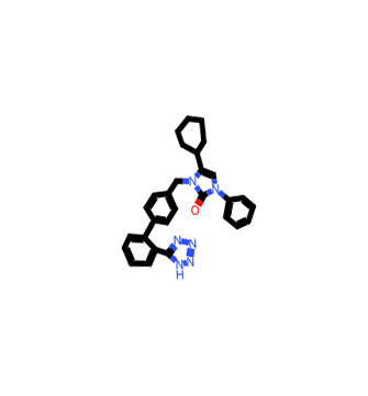 O=c1n(-c2ccccc2)cc(C2CCCCC2)n1Cc1ccc(-c2ccccc2-c2nnn[nH]2)cc1